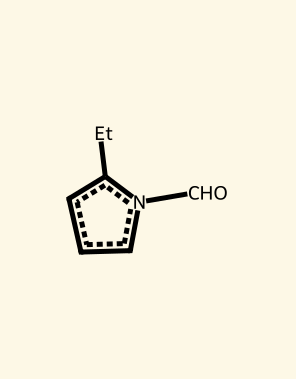 CCc1cccn1C=O